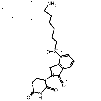 NCCCCCC[S+]([O-])c1cccc2c1CN(C1CCC(=O)NC1=O)C2=O